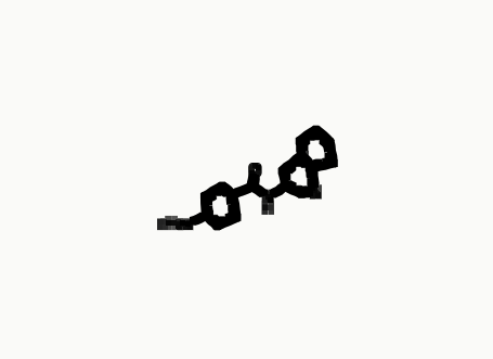 CCCCCCc1ccc(C(=O)Nc2cnc3ccccc3c2)cc1